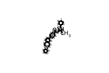 Cc1nc(-c2ccccc2)sc1CC(=O)N1CCN(c2ccc3c(c2)CCN(C2CCCC2)CC3)CC1